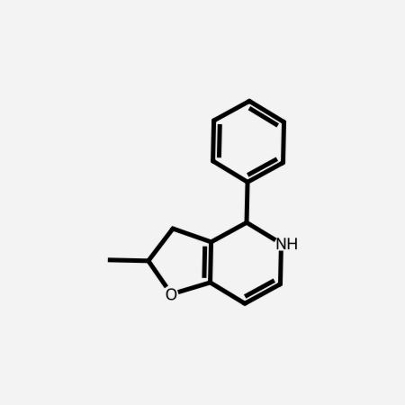 CC1CC2=C(C=CNC2c2ccccc2)O1